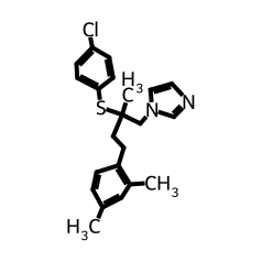 Cc1ccc(CCC(C)(Cn2ccnc2)Sc2ccc(Cl)cc2)c(C)c1